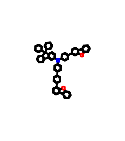 c1ccc(C2(c3ccccc3)c3ccccc3-c3cc(N(c4ccc(-c5ccc(-c6cccc7c6oc6ccccc67)cc5)cc4)c4ccc(-c5ccc6c(c5)oc5ccccc56)cc4)ccc32)cc1